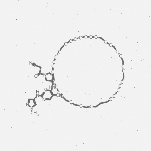 Cc1cnc(Nc2cnn(C)c2)nc1NC1CN(C(=O)CC#N)CC12CCCCCCCCCCCCCCCCCCCCCCCCCCCCCCCCCCCCCCCCC2